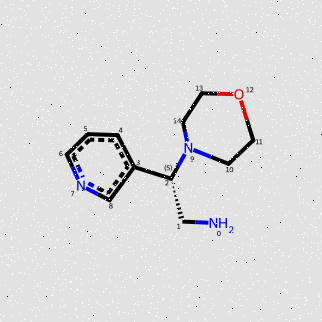 NC[C@H](c1cccnc1)N1CCOCC1